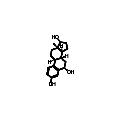 C[C@]12CC[C@@H]3c4ccc(O)cc4[C@H](O)C[C@H]3[C@@H]1CC[C@@H]2O